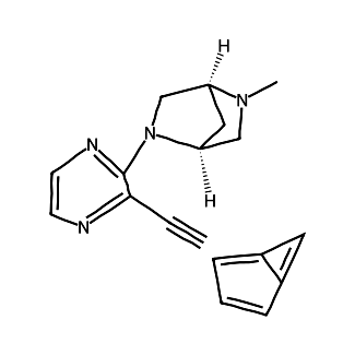 C#Cc1nccnc1N1C[C@@H]2C[C@H]1CN2C.c1cc2cc-2c1